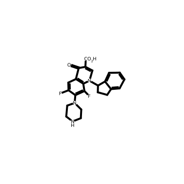 O=C(O)c1cn(C2CCc3ccccc32)c2c(F)c(N3CCNCC3)c(F)cc2c1=O